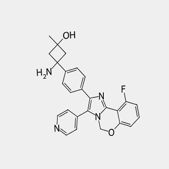 CC1(O)CC(N)(c2ccc(-c3nc4n(c3-c3ccncc3)COc3cccc(F)c3-4)cc2)C1